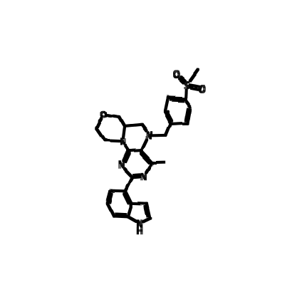 Cc1nc(-c2cccc3[nH]ccc23)nc2c1N(Cc1ccc(S(C)(=O)=O)cc1)CC1COCCN21